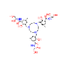 Cc1cc(CN2CCCN(Cc3cc(C)cc(C(=O)NC(O)CO)c3O)CCCN(Cc3cc(C)cc(C(=O)NC(O)CO)c3O)CCC2)c(O)c(C(=O)NC(O)CO)c1